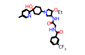 CCO[C@H]1CN(C2CCC(O)(c3ccc(C)cn3)CC2)C[C@@H]1NC(=O)CNC(=O)c1cccc(C(F)(F)F)c1